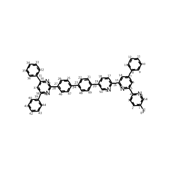 Fc1ccc(-c2cc(-c3ccccc3)cc(-c3ccc(-c4ccc(-c5ccc(-c6nc(-c7ccccc7)cc(-c7ccccc7)n6)cc5)cc4)cn3)n2)nc1